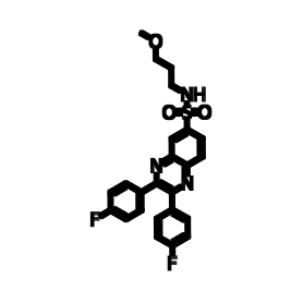 COCCCNS(=O)(=O)c1ccc2nc(-c3ccc(F)cc3)c(-c3ccc(F)cc3)nc2c1